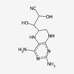 N#CC(O)C(O)C1CNc2nc(N)nc(N)c2N1